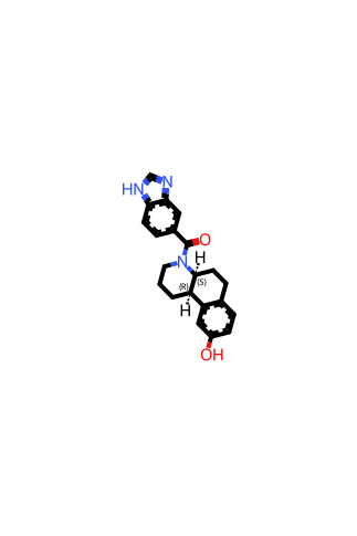 O=C(c1ccc2[nH]cnc2c1)N1CCC[C@@H]2c3cc(O)ccc3CC[C@@H]21